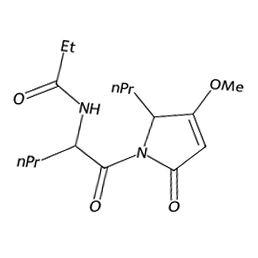 CCCC(NC(=O)CC)C(=O)N1C(=O)C=C(OC)C1CCC